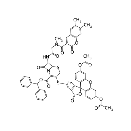 CC(=O)Oc1ccc2c(c1)Oc1cc(OC(C)=O)ccc1C21OC(=O)c2cc(SC3=C(C(=O)OC(c4ccccc4)c4ccccc4)N4C(=O)C(NC(=O)CN(C)C(=O)c5cc6cc(C)c(C)cc6oc5=O)C4SC3)ccc21